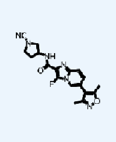 Cc1noc(C)c1-c1ccc2nc(C(=O)NC3CCN(C#N)C3)c(F)n2c1